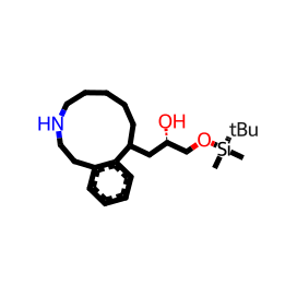 CC(C)(C)[Si](C)(C)OC[C@@H](O)CC1CCCCCNCCc2ccccc21